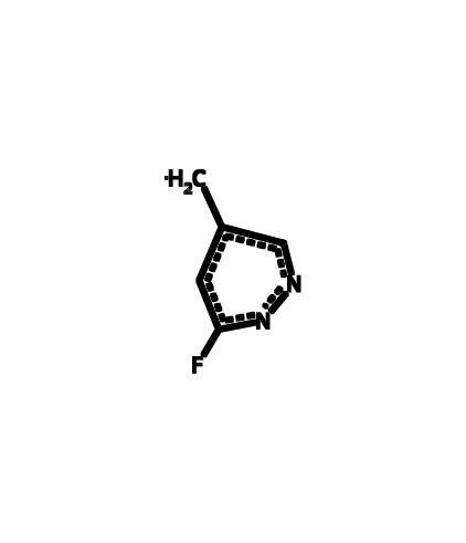 [CH2]c1cnnc(F)c1